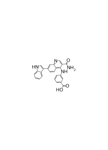 NC(=O)c1cnc2cc(-c3c[nH]c4ccccc34)ccc2c1Nc1cccc(C(=O)O)c1